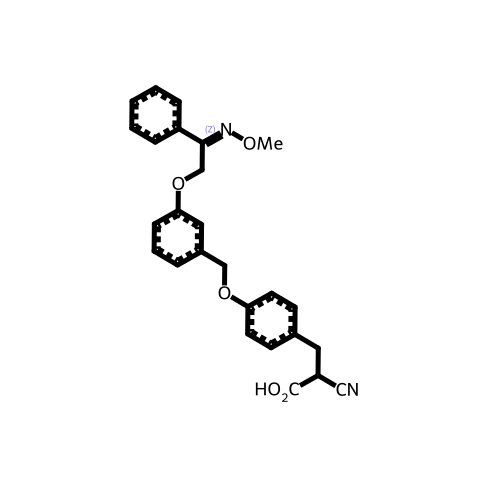 CO/N=C(\COc1cccc(COc2ccc(CC(C#N)C(=O)O)cc2)c1)c1ccccc1